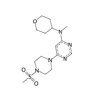 CN(c1cc(N2CCN(S(C)(=O)=O)CC2)ncn1)C1CCOCC1